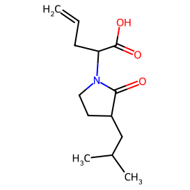 C=CCC(C(=O)O)N1CCC(CC(C)C)C1=O